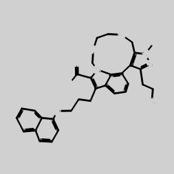 Cn1nc(CCBr)c2c1COCCCCn1c(C(=O)O)c(CCCOc3cccc4ccccc34)c3cccc-2c31